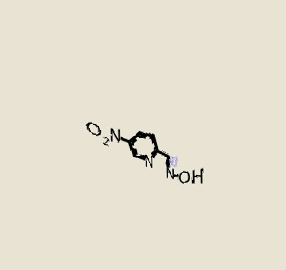 O=[N+]([O-])c1ccc(/C=N/O)nc1